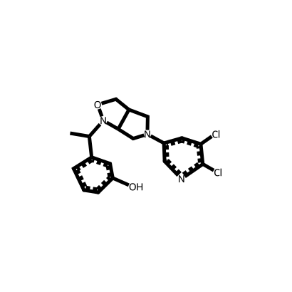 CC(c1cccc(O)c1)N1OCC2CN(c3cnc(Cl)c(Cl)c3)CC21